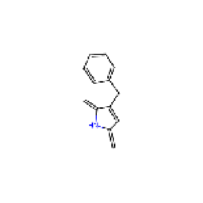 C=c1cc(Cc2ccccc2)c(=C)[nH]1